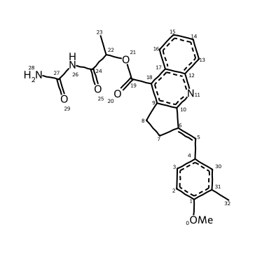 COc1ccc(/C=C2\CCc3c2nc2ccccc2c3C(=O)OC(C)C(=O)NC(N)=O)cc1C